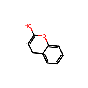 OC1=[C]Cc2ccccc2O1